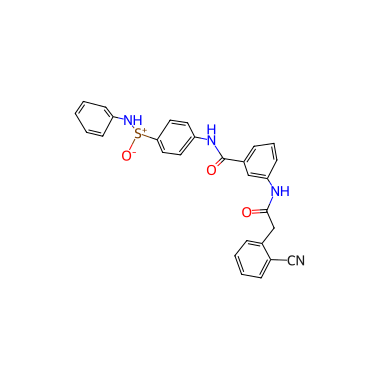 N#Cc1ccccc1CC(=O)Nc1cccc(C(=O)Nc2ccc([S+]([O-])Nc3ccccc3)cc2)c1